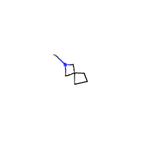 [CH2]N1CC2(CCC2)C1